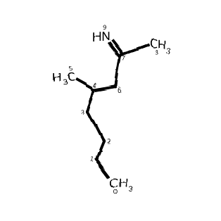 CCCCC(C)CC(C)=N